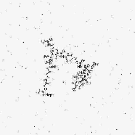 C=CC(CCCCCCC)OCC(=O)NCCCC[C@H](N)C(=O)N[C@H](C(=O)N[C@@H](CCCNC(N)=O)C(=O)Nc1ccc(COC(=O)NCC(=O)[C@@]23OC(CCC)O[C@@H]2CC2[C@@H]4C[C@H](F)C5=CC(=O)C=C[C@]5(C)[C@@]4(F)[C@@H](O)C[C@@]23C)cc1)C(C)C